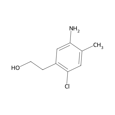 Cc1cc(Cl)c(CCO)cc1N